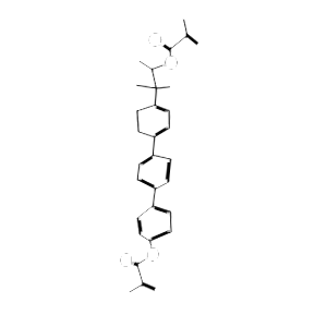 C=C(C)C(=O)Oc1ccc(-c2ccc(C3=CC=C(C(C)(C)C(C)OC(=O)C(=C)C)CC3)cc2)cc1